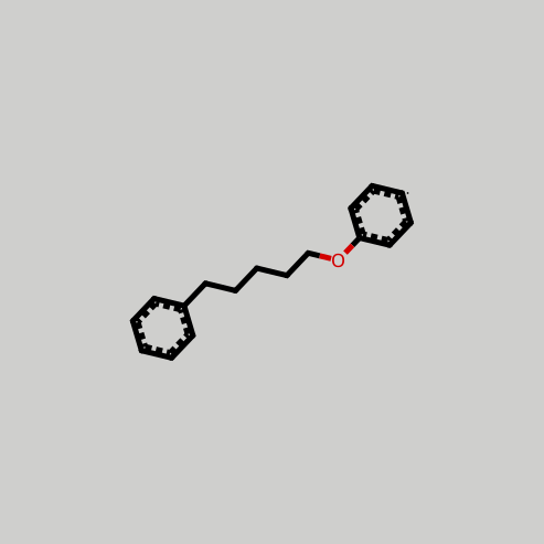 [c]1ccc(OCCCCCc2ccccc2)cc1